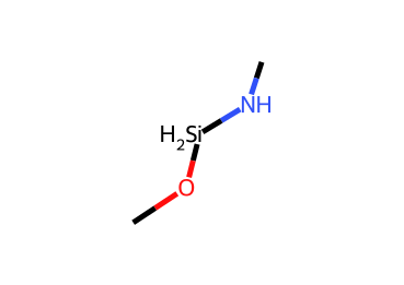 CN[SiH2]OC